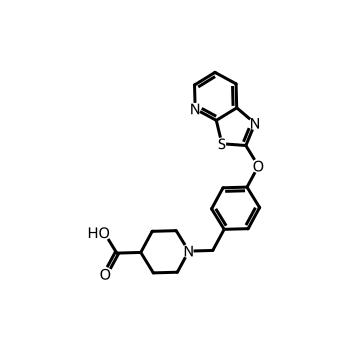 O=C(O)C1CCN(Cc2ccc(Oc3nc4cccnc4s3)cc2)CC1